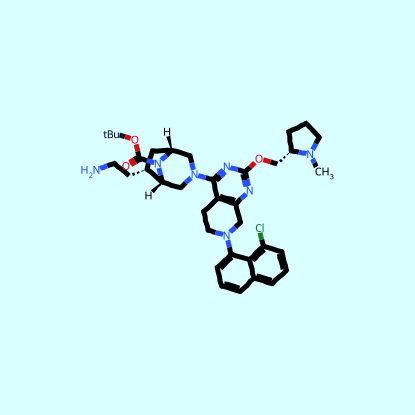 CN1CCC[C@H]1COc1nc2c(c(N3C[C@H]4C[C@@H](CCN)[C@@H](C3)N4C(=O)OC(C)(C)C)n1)CCN(c1cccc3cccc(Cl)c13)C2